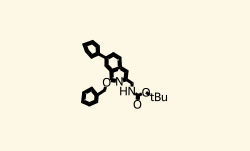 CC(C)(C)OC(=O)NCc1cc2ccc(-c3ccccc3)cc2c(OCc2ccccc2)n1